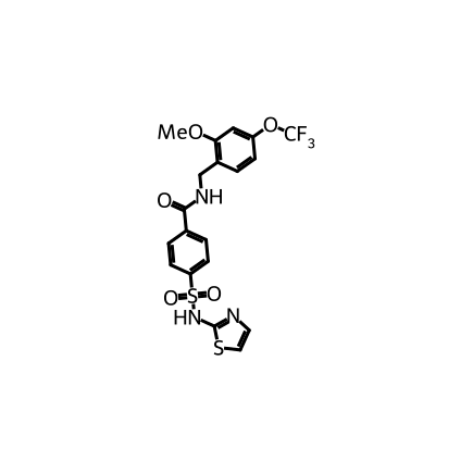 COc1cc(OC(F)(F)F)ccc1CNC(=O)c1ccc(S(=O)(=O)Nc2nccs2)cc1